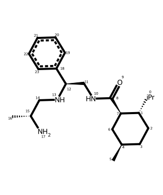 CC(C)[C@@H]1CC[C@@H](C)C[C@H]1C(=O)NC[C@@H](NC[C@@H](C)N)c1ccccc1